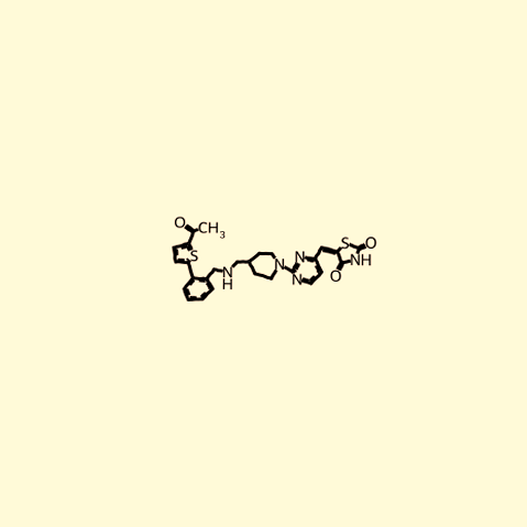 CC(=O)c1ccc(-c2ccccc2CNCC2CCN(c3nccc(C=C4SC(=O)NC4=O)n3)CC2)s1